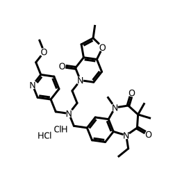 CCN1C(=O)C(C)(C)C(=O)N(C)c2cc(CN(CCn3ccc4oc(C)cc4c3=O)Cc3ccc(COC)nc3)ccc21.Cl.Cl